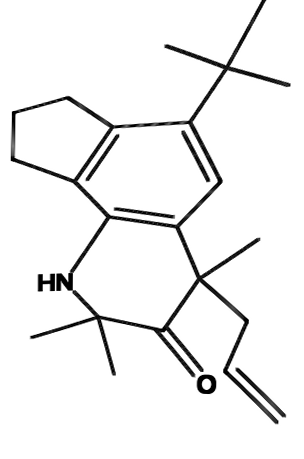 C=CCC1(C)C(=O)C(C)(C)Nc2c1cc(C(C)(C)C)c1c2CCC1